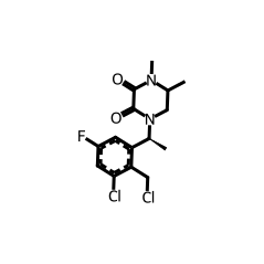 CC1CN([C@@H](C)c2cc(F)cc(Cl)c2CCl)C(=O)C(=O)N1C